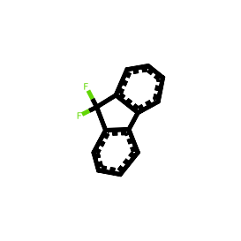 FC1(F)c2ccccc2-c2ccccc21